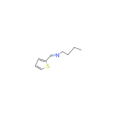 CCCC/N=C/c1cccs1